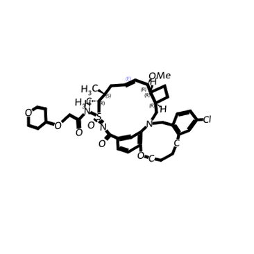 CO[C@H]1/C=C/C[C@H](C)[C@@H](C)S(=O)(NC(=O)COC2CCOCC2)=NC(=O)c2ccc3c(c2)N(Cc2ccc(Cl)cc2CCCCO3)C[C@@H]2CC[C@H]21